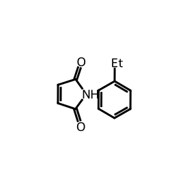 CCc1ccccc1.O=C1C=CC(=O)N1